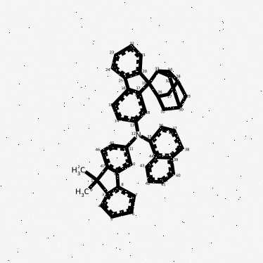 CC1(C)c2ccccc2-c2cc(N(c3ccc4c(c3)C3(c5ccccc5-4)C4CC5CC(C4)CC3C5)c3cccc4ccccc34)ccc21